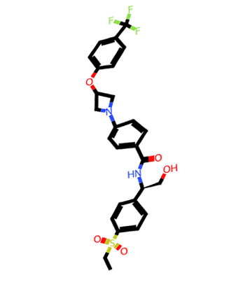 CCS(=O)(=O)c1ccc([C@H](CO)NC(=O)c2ccc(N3CC(Oc4ccc(C(F)(F)F)cc4)C3)cc2)cc1